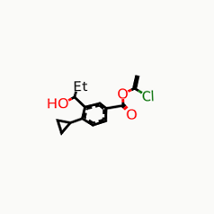 C=C(Cl)OC(=O)c1ccc(C2CC2)c(C(O)CC)c1